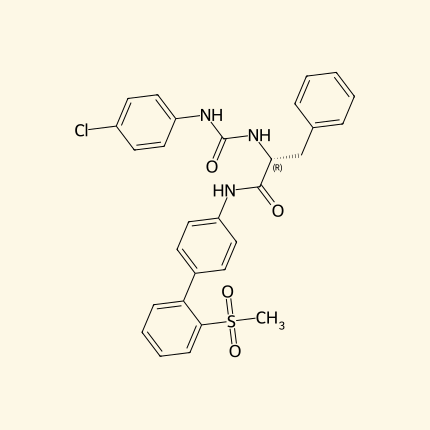 CS(=O)(=O)c1ccccc1-c1ccc(NC(=O)[C@@H](Cc2ccccc2)NC(=O)Nc2ccc(Cl)cc2)cc1